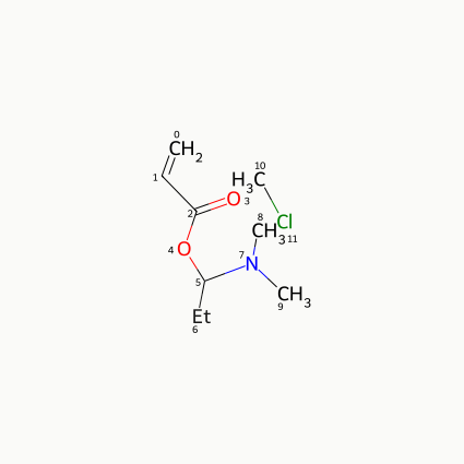 C=CC(=O)OC(CC)N(C)C.CCl